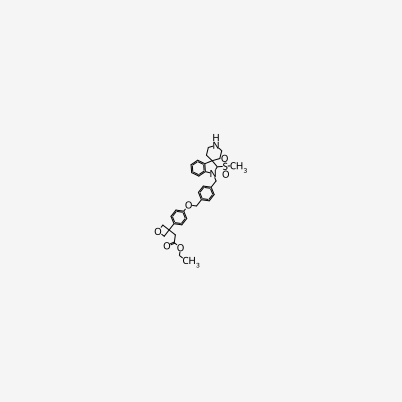 CCOC(=O)CC1(c2ccc(OCc3ccc(CN4c5ccccc5C5(CCNCC5)C4S(C)(=O)=O)cc3)cc2)COC1